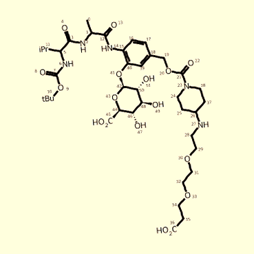 CC(NC(=O)C(NC(=O)OC(C)(C)C)C(C)C)C(=O)Nc1ccc(COC(=O)N2CCC(NCCOCCOCCC(=O)O)CC2)cc1O[C@@H]1O[C@H](C(=O)O)[C@@H](O)[C@H](O)[C@H]1O